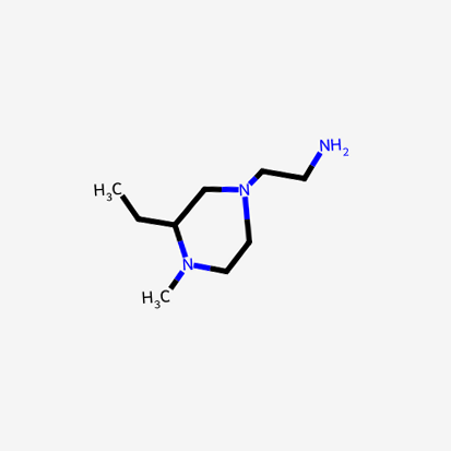 CCC1CN(CCN)CCN1C